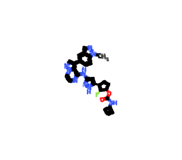 Cn1ncc2cc(-c3cnn4ccnc(Nc5cc([C@H]6CC[C@@H](OC(=O)NC78CC(C7)C8)[C@@H]6F)[nH]n5)c34)ccc21